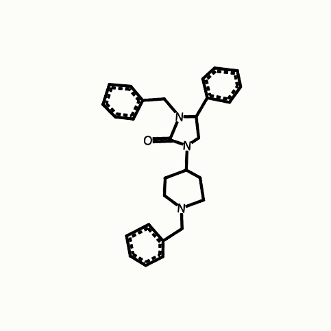 O=C1N(C2CCN(Cc3ccccc3)CC2)CC(c2ccccc2)N1Cc1ccccc1